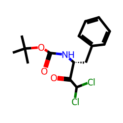 CC(C)(C)OC(=O)N[C@H](Cc1ccccc1)C(=O)C(Cl)Cl